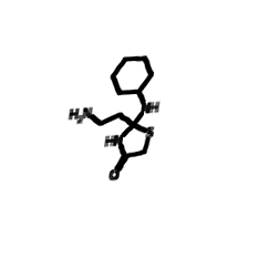 NCCC1(NC2CCCCC2)NC(=O)CS1